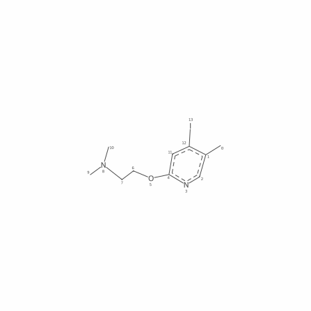 Cc1cnc(OCCN(C)C)cc1I